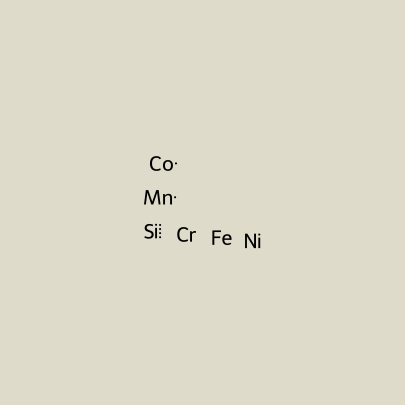 [Co].[Cr].[Fe].[Mn].[Ni].[Si]